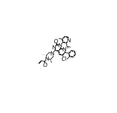 C=CC(=O)N1[C@H](C)CN(c2nc(=O)n3c4c2cc(Cl)c(-c2ccccc2C)[n+]4C(C)c2nccc(C)c2-3)C[C@H]1C